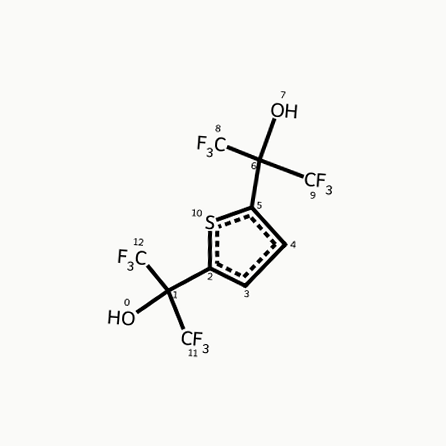 OC(c1ccc(C(O)(C(F)(F)F)C(F)(F)F)s1)(C(F)(F)F)C(F)(F)F